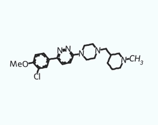 COc1ccc(-c2ccc(N3CCN(CC4CCCN(C)C4)CC3)nn2)cc1Cl